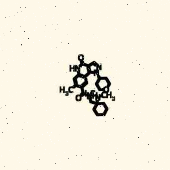 Cc1cc2[nH]c(=O)c3cnn(C4CCOCC4)c3c2cc1C(=O)NCC1(N(C)C)CCCCC1